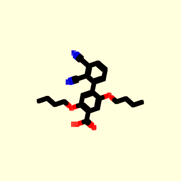 CCCCOc1cc(-c2cccc(C#N)c2C#N)c(OCCCC)cc1C(=O)O